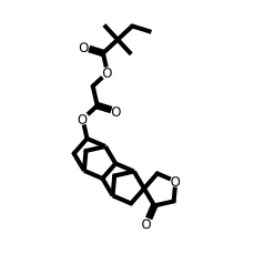 CCC(C)(C)C(=O)OCC(=O)OC1CC2CC1C1C2C2CC1C1(COCC1=O)C2